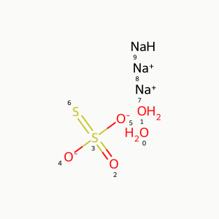 O.O.O=S([O-])([O-])=S.[Na+].[Na+].[NaH]